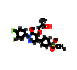 CC(C)[C@H](O)COc1c(-c2ccc(S(C)(=O)=O)cc2)cnn(-c2ccc(F)c(F)c2)c1=O